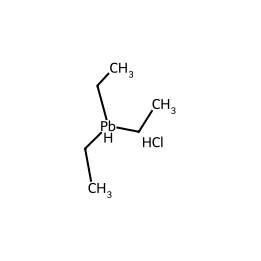 C[CH2][PbH]([CH2]C)[CH2]C.Cl